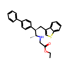 CCOC(=O)CN[C@H](C)[C@H](Cc1csc2ccccc12)c1ccc(-c2ccccc2)cc1